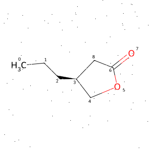 CCC[C@@H]1COC(=O)C1